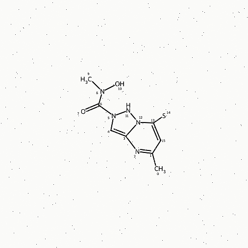 CC1=NC2=CN(C(=O)N(C)O)NN2C([S])=C1